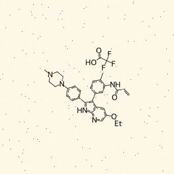 C=CC(=O)Nc1cc(-c2c(-c3ccc(N4CCN(C)CC4)cc3)[nH]c3ncc(OCC)cc23)ccc1C.O=C(O)C(F)(F)F